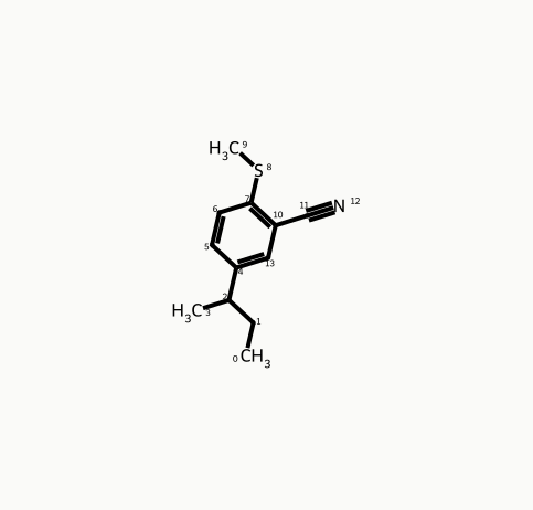 CCC(C)c1ccc(SC)c(C#N)c1